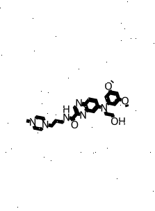 COc1cc(OC)cc(N(CCO)c2ccc3ncc(C(=O)NCCCN4CCN(C)CC4)nc3c2)c1